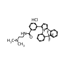 CN(C)CCNC(=O)c1cccc(-c2ccc(-c3ccccc3)n2-c2ccccc2C(F)(F)F)c1.Cl